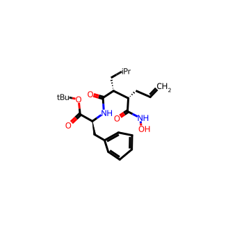 C=CC[C@H](C(=O)NO)[C@@H](CC(C)C)C(=O)N[C@@H](Cc1ccccc1)C(=O)OC(C)(C)C